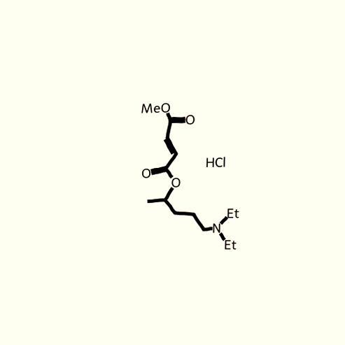 CCN(CC)CCCC(C)OC(=O)C=CC(=O)OC.Cl